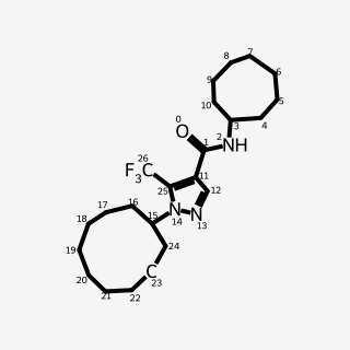 O=C(NC1CCCCCCC1)c1cnn(C2CCCCCCCCC2)c1C(F)(F)F